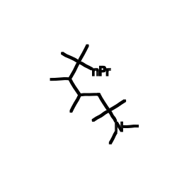 CCCC(C)(C)C(C)C(C)CC(C)(C)N(C)C